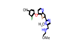 COCCNCc1cnc(-c2cc3nccc(Oc4ccc(N=O)cc4F)c3s2)n1C